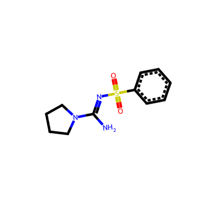 N/C(=N\S(=O)(=O)c1ccccc1)N1CCCC1